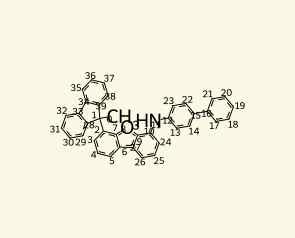 CC1(c2cccc3c2oc2c(Nc4ccc(-c5ccccc5)cc4)cccc23)c2ccccc2-c2ccccc21